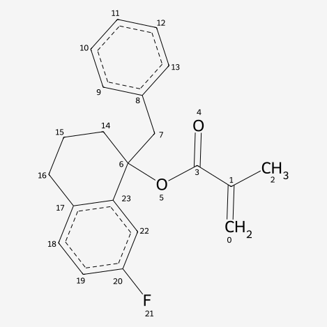 C=C(C)C(=O)OC1(Cc2ccccc2)CCCc2ccc(F)cc21